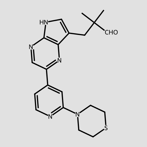 CC(C)(C=O)Cc1c[nH]c2ncc(-c3ccnc(N4CCSCC4)c3)nc12